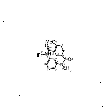 COc1ccc(C(=O)N(C)c2cccnc2)cc1C(=O)NC(C)C